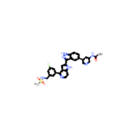 CCCCC(=O)Nc1cncc(-c2ccc3[nH]nc(-c4cc5c(-c6cc(F)cc(CNS(C)(=O)=O)c6)nccc5[nH]4)c3c2)c1